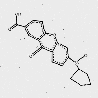 O=C(O)c1ccc2oc3cc([S+]([O-])C4CCCC4)ccc3c(=O)c2c1